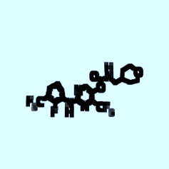 O=C(NCC1CCOCC1)Oc1cnc(Nc2cccc(C(F)(F)F)c2F)nc1C(F)(F)F